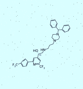 O[C@H](CNCCCN1CCN(C(c2ccccc2)c2ccccc2)CC1)c1cc(-c2ccc(C(F)(F)F)cc2)nc(C(F)(F)F)c1